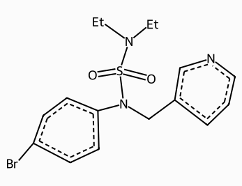 CCN(CC)S(=O)(=O)N(Cc1cccnc1)c1ccc(Br)cc1